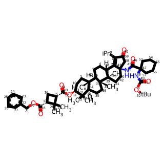 CC(C)C1=C2[C@H]3CC[C@@H]4[C@@]5(C)CC[C@H](OC(=O)[C@H]6C[C@@H](C(=O)OCc7ccccc7)C6(C)C)C(C)(C)[C@@H]5CC[C@@]4(C)[C@]3(C)CC[C@@]2(NC(=O)C2(NC(=O)OC(C)(C)C)CCCCC2)CC1=O